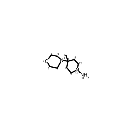 CC1(N2CCOCC2)CCN(N)CC1